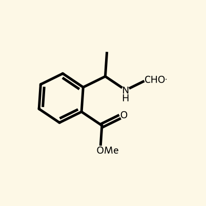 COC(=O)c1ccccc1C(C)N[C]=O